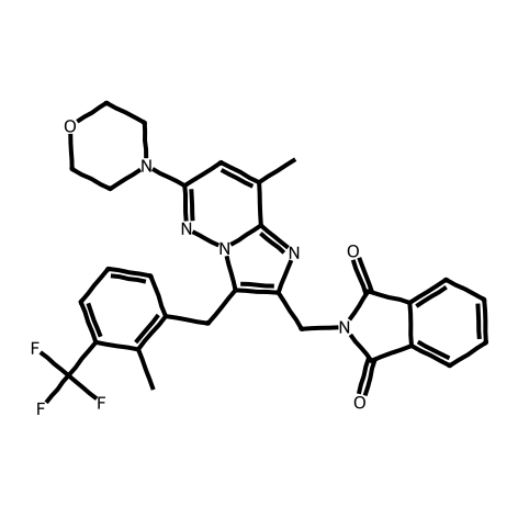 Cc1c(Cc2c(CN3C(=O)c4ccccc4C3=O)nc3c(C)cc(N4CCOCC4)nn23)cccc1C(F)(F)F